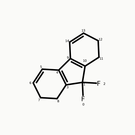 FC1(F)C2=C(C=CCC2)C2=C1CCC=C2